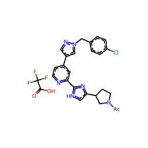 CC(=O)N1CCC(c2c[nH]c(-c3cc(-c4cnn(Cc5ccc(Cl)cc5)c4)ccn3)n2)C1.O=C(O)C(F)(F)F